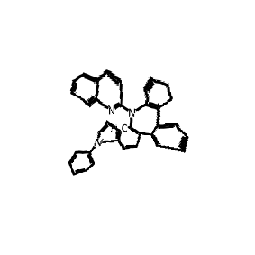 CC1=C(/C=C\c2cccn2-c2ccccc2)c2ccccc2C2=C(C=CCC2)N1c1ccc2ccccc2n1